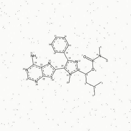 CC(C)CC(OC(=O)N(C)C)c1nc(-c2ccccc2)c(-c2nc3c(N)ncnc3s2)n1C